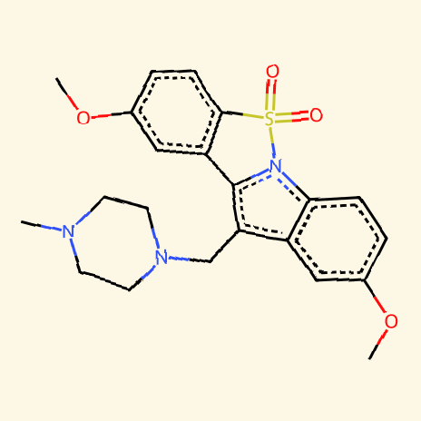 COc1ccc2c(c1)-c1c(CN3CCN(C)CC3)c3cc(OC)ccc3n1S2(=O)=O